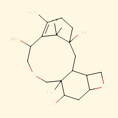 CC1=C2C(O)COCC3(C)C(O)CC4OCC4C3CC(O)(CC1)C2(C)C